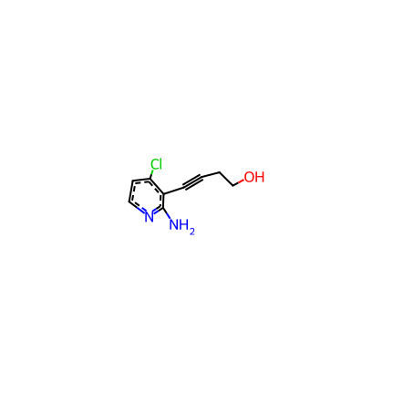 Nc1nccc(Cl)c1C#CCCO